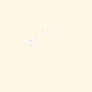 CC(C)(C)OC(=O)NCCCC[C@H](NC(=O)c1ccc(C(=O)NC(=N)NC(=O)OC(C)(C)C)o1)C(N)=O